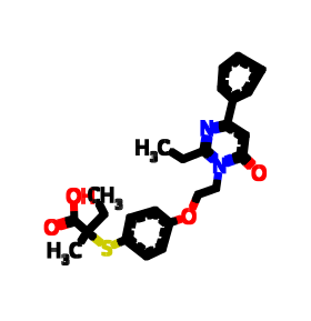 CCc1nc(-c2ccccc2)cc(=O)n1CCOc1ccc(SC(C)(CC)C(=O)O)cc1